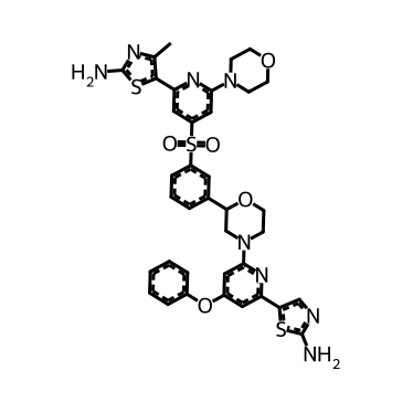 Cc1nc(N)sc1-c1cc(S(=O)(=O)c2cccc(C3CN(c4cc(Oc5ccccc5)cc(-c5cnc(N)s5)n4)CCO3)c2)cc(N2CCOCC2)n1